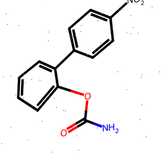 NC(=O)Oc1ccccc1-c1ccc([N+](=O)[O-])cc1